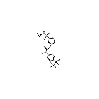 CN(C(=O)Cc1cccc(S(=O)(=O)NC2CC2)c1)c1ccc(C(C)(O)C(F)(F)F)cc1